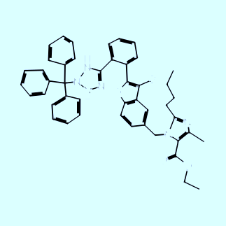 CCCCc1nc(C)c(C(=O)OCC)n1Cc1ccc2oc(-c3ccccc3C3=NNN(C(c4ccccc4)(c4ccccc4)c4ccccc4)N3)c(Br)c2c1